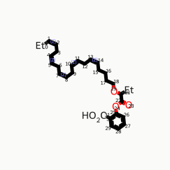 CC/C=C\C/C=C\C/C=C\C/C=C\C/C=C\CCCCOC(CC)C(=O)Oc1ccccc1C(=O)O